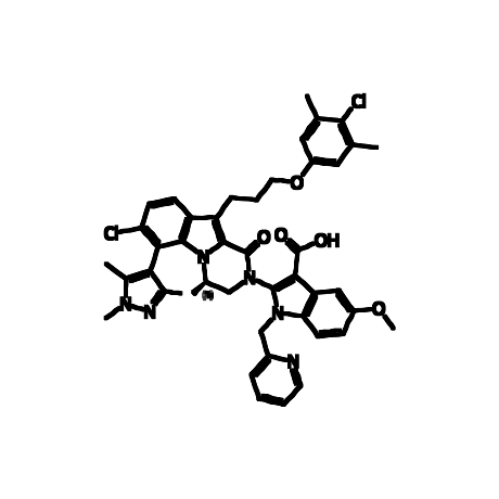 COc1ccc2c(c1)c(C(=O)O)c(N1C[C@@H](C)n3c(c(CCCOc4cc(C)c(Cl)c(C)c4)c4ccc(Cl)c(-c5c(C)nn(C)c5C)c43)C1=O)n2Cc1ccccn1